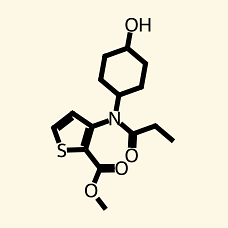 CCC(=O)N(c1ccsc1C(=O)OC)C1CCC(O)CC1